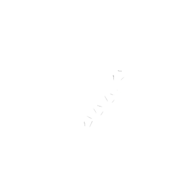 CCC1Cc2ccc(-c3ccc(-c4ccc(C(F)(F)Oc5cc(F)c(C)c(F)c5)c(F)c4)cc3)cc2C1